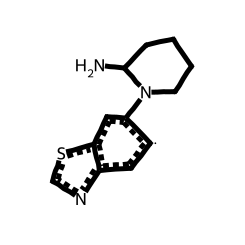 NC1CCCCN1c1[c]cc2ncsc2c1